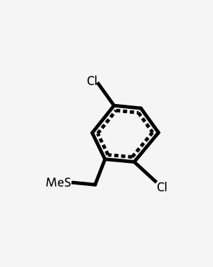 CSCc1cc(Cl)ccc1Cl